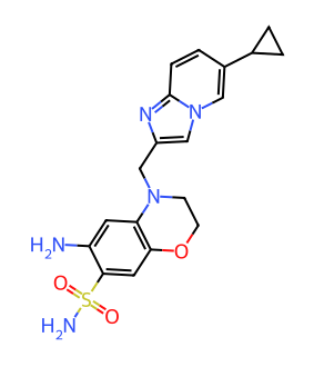 Nc1cc2c(cc1S(N)(=O)=O)OCCN2Cc1cn2cc(C3CC3)ccc2n1